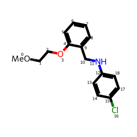 COCCOc1ccccc1CNc1ccc(Cl)cc1